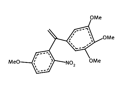 C=C(c1cc(OC)c(OC)c(OC)c1)c1cc(OC)ccc1[N+](=O)[O-]